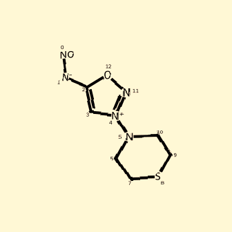 O=N[N-]c1c[n+](N2CCSCC2)no1